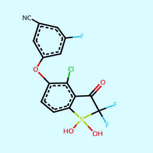 N#Cc1cc(F)cc(Oc2ccc3c(c2Cl)C(=O)C(F)(F)S3(O)O)c1